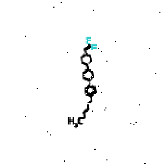 CCCCCCc1ccc([C@H]2CC[C@H]([C@H]3CC[C@H](C=C(F)F)CC3)CC2)cc1